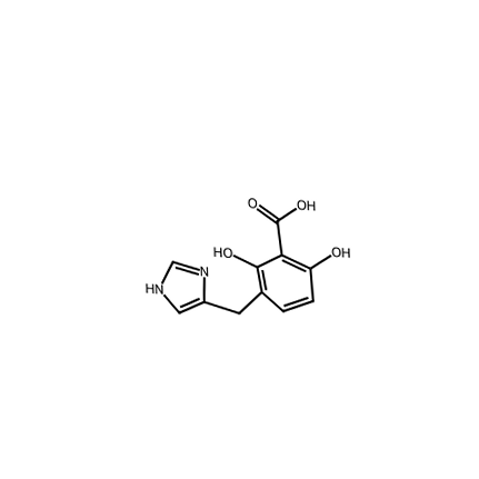 O=C(O)c1c(O)ccc(Cc2c[nH]cn2)c1O